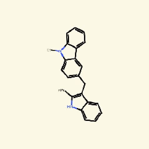 CCCc1[nH]c2ccccc2c1Cc1ccc2c(c1)c1ccccc1n2CC